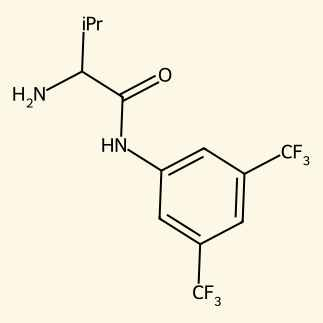 CC(C)C(N)C(=O)Nc1cc(C(F)(F)F)cc(C(F)(F)F)c1